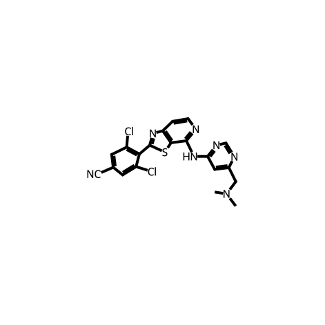 CN(C)Cc1cc(Nc2nccc3nc(-c4c(Cl)cc(C#N)cc4Cl)sc23)ncn1